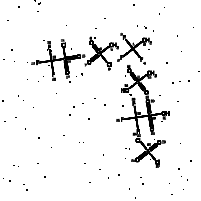 CC(F)(F)F.CS(=O)(=O)Cl.CS(=O)(=O)O.O=S(=O)(Cl)C(F)(F)F.O=S(=O)(Cl)Cl.O=S(=O)(O)C(F)(F)F